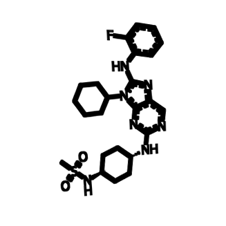 CS(=O)(=O)N[C@H]1CC[C@H](Nc2ncc3nc(Nc4ccccc4F)n(C4CCCCC4)c3n2)CC1